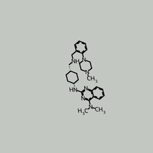 CN1CCN(c2ccccc2CNC[C@H]2CC[C@@H](Nc3nc(N(C)C)c4ccccc4n3)CC2)CC1